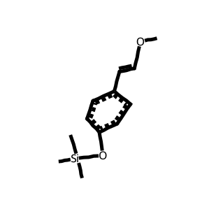 COC=Cc1ccc(O[Si](C)(C)C)cc1